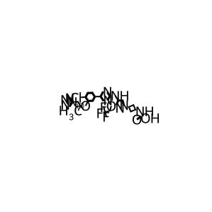 C[C@@H](Cn1cnnn1)Oc1cc(-c2cnc(Nc3cn([C@H]4C[C@H](NC(=O)O)C4)nc3OCC(F)(F)F)nc2)ccc1Cl